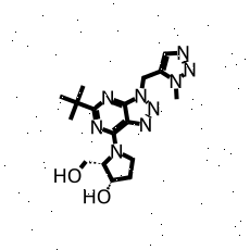 Cn1nncc1Cn1nnc2c(N3CC[C@H](O)[C@@H]3CO)nc(C(C)(C)C)nc21